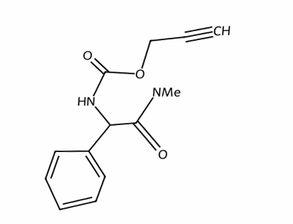 C#CCOC(=O)NC(C(=O)NC)c1ccccc1